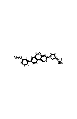 COc1cc(-c2ccc3c(c2)COc2cc(N4CCC(NC(C)(C)C)C4)ncc2-3)cnn1